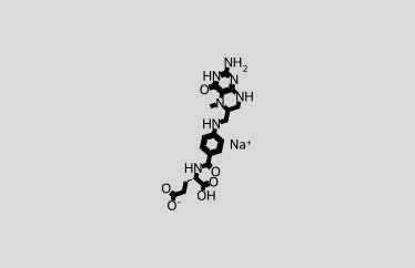 CN1c2c(nc(N)[nH]c2=O)NCC1CNc1ccc(C(=O)N[C@@H](CCC(=O)[O-])C(=O)O)cc1.[Na+]